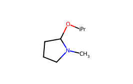 CC(C)OC1CCCN1C